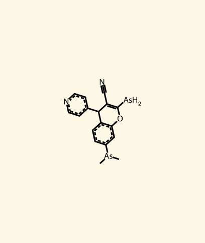 C[As](C)c1ccc2c(c1)OC([AsH2])=C(C#N)C2c1ccncc1